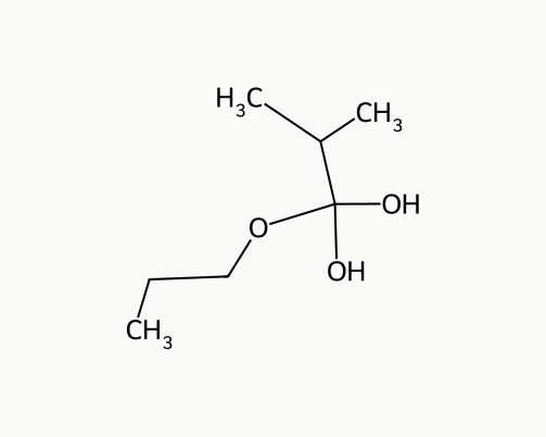 CCCOC(O)(O)C(C)C